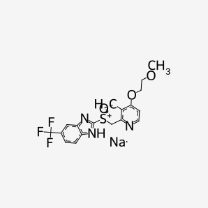 COCCOc1ccnc(C[S+]([O-])c2nc3cc(C(F)(F)F)ccc3[nH]2)c1C.[Na]